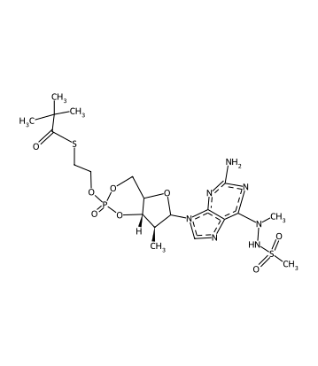 C[C@@H]1C(n2cnc3c(N(C)NS(C)(=O)=O)nc(N)nc32)OC2COP(=O)(OCCSC(=O)C(C)(C)C)O[C@H]21